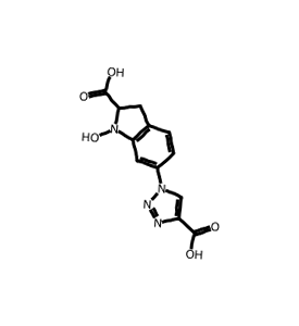 O=C(O)c1cn(-c2ccc3c(c2)N(O)C(C(=O)O)C3)nn1